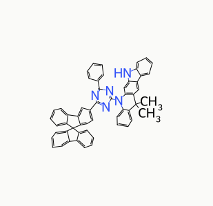 CC1(C)c2ccccc2N(c2nc(-c3ccccc3)nc(-c3ccc4c(c3)-c3ccccc3C43c4ccccc4-c4ccccc43)n2)c2cc3[nH]c4ccccc4c3cc21